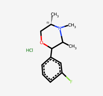 CC1C(c2cccc(F)c2)OC[C@H](C)N1C.Cl